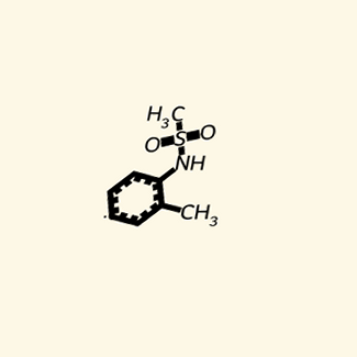 Cc1c[c]ccc1NS(C)(=O)=O